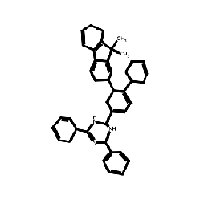 CC1(C)C2=CC(C3CC(C4NC(C5C=CC=CC5)=NC(c5ccccc5)N4)=CC=C3C3CC=CCC3)CC=C2C2=C1CCC=C2